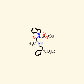 CCOC(=O)C(CCN[C@@H](C)C(=O)N(CC(=O)OC(C)(C)C)N1CCc2ccccc21)c1ccccc1